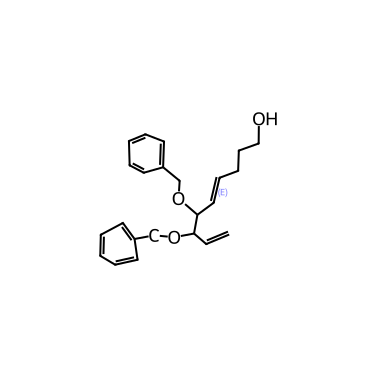 C=CC(OCc1ccccc1)C(/C=C/CCCO)OCc1ccccc1